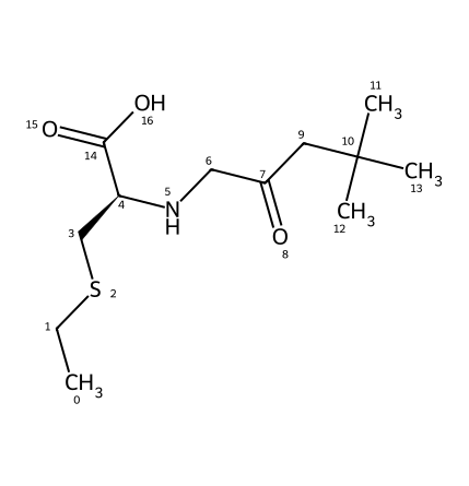 CCSC[C@H](NCC(=O)CC(C)(C)C)C(=O)O